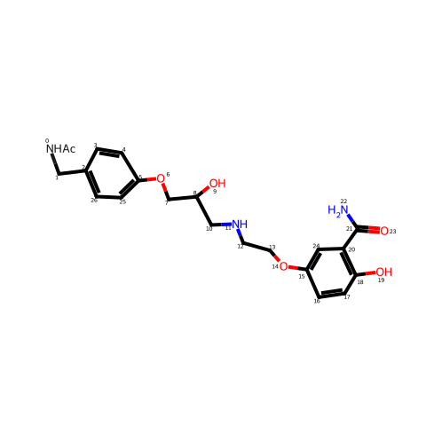 CC(=O)NCc1ccc(OCC(O)CNCCOc2ccc(O)c(C(N)=O)c2)cc1